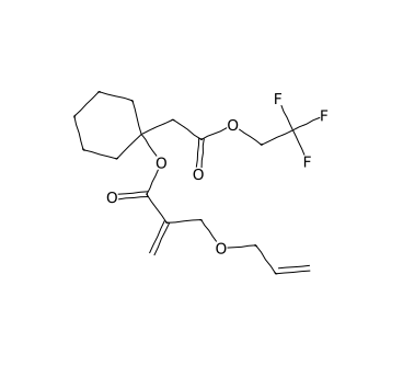 C=CCOCC(=C)C(=O)OC1(CC(=O)OCC(F)(F)F)CCCCC1